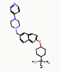 CC(C)(C)C1CCC(Oc2ccc3cc(CN4CCN(c5ccncc5)CC4)ccc3c2)CC1